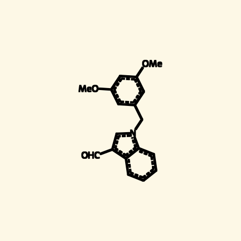 COc1cc(Cn2cc(C=O)c3ccccc32)cc(OC)c1